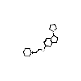 c1cc2c(cc1OCCN1CCCCC1)CCC2N1CCCC1